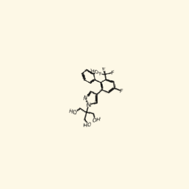 OCC(CO)(CO)n1cc(-c2cc(F)cc(C(F)(F)F)c2-c2ccccc2O)cn1